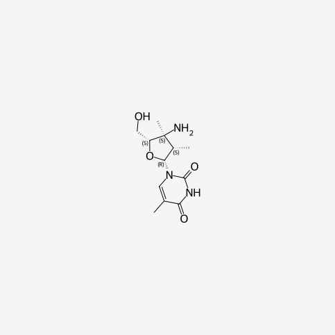 Cc1cn([C@@H]2O[C@H](CO)[C@@](C)(N)[C@@H]2C)c(=O)[nH]c1=O